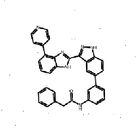 O=C(Cc1ccccc1)Nc1cccc(-c2ccc3[nH]nc(-c4nc5c(-c6ccncc6)cccc5[nH]4)c3c2)c1